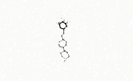 O=CC1CCC(C2CCC(CCc3cc(F)c(F)c(F)c3)CC2)CC1